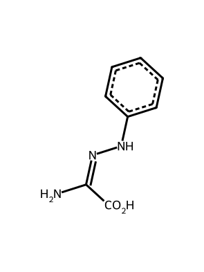 N/C(=N/Nc1ccccc1)C(=O)O